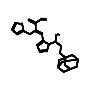 CCCC(CCC12CC3CC(CC(C3)C1)C2)n1cncc1/C=C(\Cc1cccs1)C(=O)OC